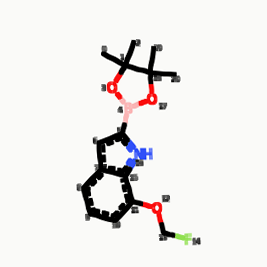 CC1(C)OB(c2cc3cccc(OCF)c3[nH]2)OC1(C)C